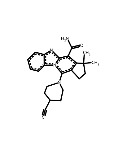 CC1(C)CCc2c1c(C(N)=O)c1nc3ccccc3n1c2N1CCC(C#N)CC1